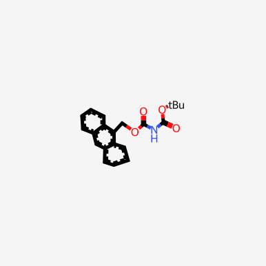 CC(C)(C)OC(=O)NC(=O)OCc1c2ccccc2cc2ccccc12